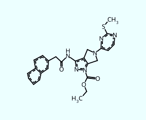 CCOC(=O)n1nc(NC(=O)Cc2ccc3ccccc3c2)c2c1CN(c1ccnc(SC)n1)C2